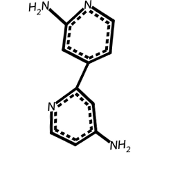 Nc1ccnc(-c2ccnc(N)c2)c1